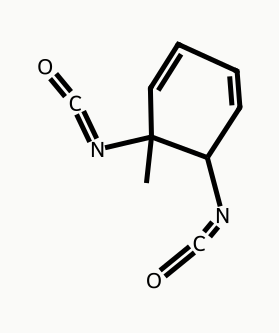 CC1(N=C=O)C=CC=CC1N=C=O